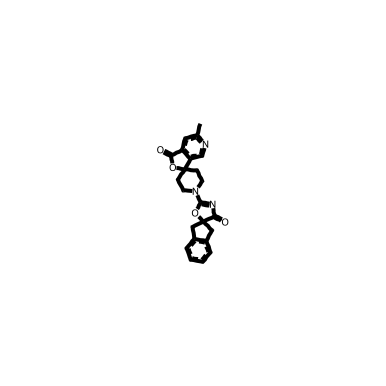 Cc1cc2c(cn1)C1(CCN(C3=NC(=O)C4(Cc5ccccc5C4)O3)CC1)OC2=O